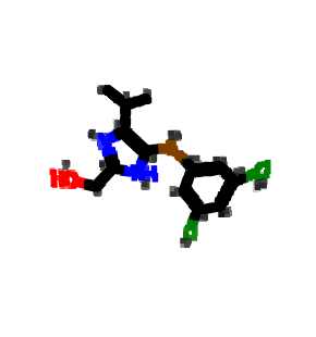 CC(C)c1nc(CO)[nH]c1Sc1cc(Cl)cc(Cl)c1